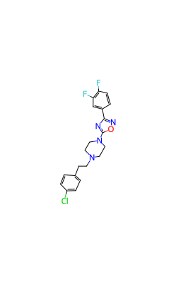 Fc1ccc(-c2noc(N3CCN(CCc4ccc(Cl)cc4)CC3)n2)cc1F